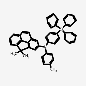 Cc1ccc(N(c2ccc([Si](c3ccccc3)(c3ccccc3)c3ccccc3)cc2)c2cc3c4c(ccc5cccc(c54)C3(C)C)c2)cc1